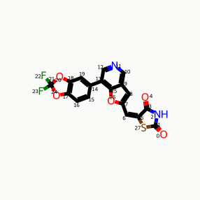 O=C1NC(=O)/C(=C\c2cc3cncc(-c4ccc5c(c4)OC(F)(F)O5)c3o2)S1